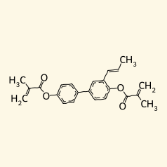 C=C(C)C(=O)Oc1ccc(-c2ccc(OC(=O)C(=C)C)c(/C=C/C)c2)cc1